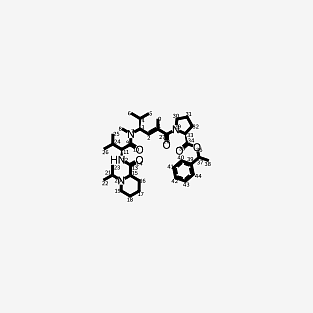 C/C(=C\[C@H](C(C)C)N(C)C(=O)[C@@H](NC(=O)C1CCCCN1C(C)C)C(C)C)C(=O)N1CCC[C@H]1C(=O)OC(C)c1ccccc1